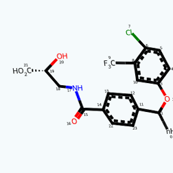 CCCCCCC(Oc1ccc(Cl)c(C(F)(F)F)c1)c1ccc(C(=O)NC[C@@H](O)C(=O)O)cc1